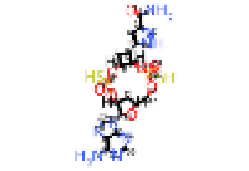 NC(=O)c1cc([C@@H]2C[C@@H]3OP(=O)(S)O[C@@H]4C[C@@H](COP(=O)(S)O[C@H]32)O[C@H]4n2cnc3c(N)ncnc32)[nH]n1